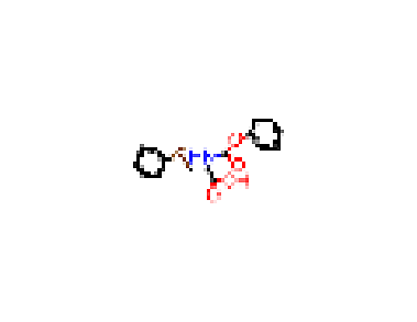 O=C(N[C@@H](CSc1ccccc1)C(=O)O)Oc1ccccc1